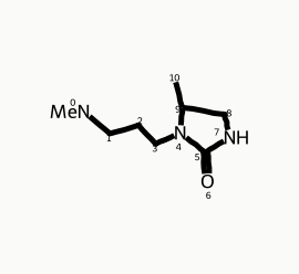 CNCCCN1C(=O)NCC1C